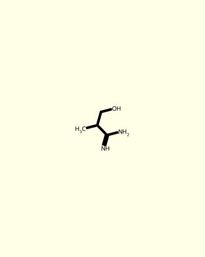 CC(CO)C(=N)N